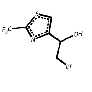 OC(CBr)c1csc(C(F)(F)F)n1